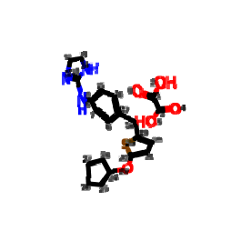 O=C(O)C(=O)O.c1cc(NC2=NCCN2)ccc1Cc1ccc(OC2CCCC2)s1